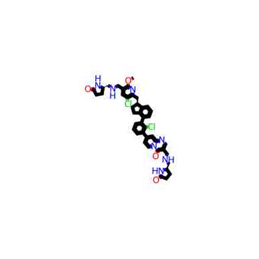 COc1nc(C[C@@H]2CCc3c(-c4cccc(-c5ccn6c(=O)c(CNC[C@H]7CCC(=O)N7)cnc6c5)c4Cl)cccc32)c(Cl)cc1CNC[C@@H]1CCC(=O)N1